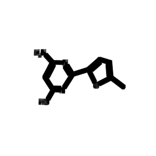 Cc1ccc(-c2nc(N)cc(O)n2)o1